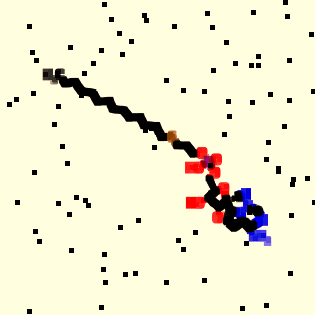 CCCCCCCCCCCCCCSCCCOP(=O)(O)OC[C@H]1O[C@@](C#N)(c2ccc3c(N)ncnn23)[C@H](O)[C@@H]1O